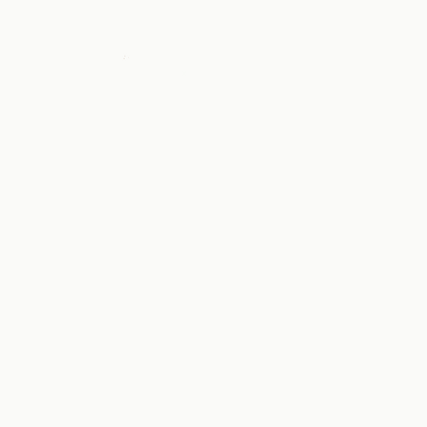 Clc1cc(C=Cc2ccccc2)ccc1CBr